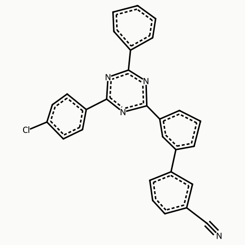 N#Cc1cccc(-c2cccc(-c3nc(-c4ccccc4)nc(-c4ccc(Cl)cc4)n3)c2)c1